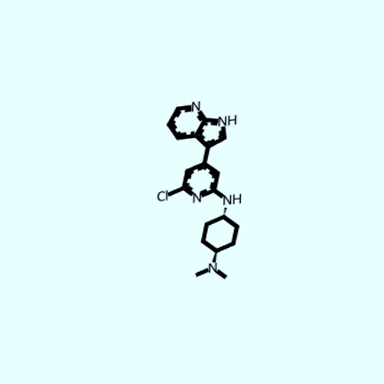 CN(C)[C@H]1CC[C@H](Nc2cc(-c3c[nH]c4ncccc34)cc(Cl)n2)CC1